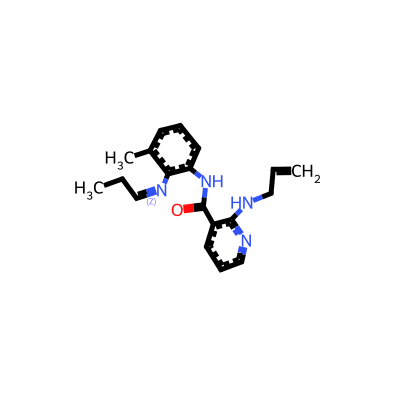 C=CCNc1ncccc1C(=O)Nc1cccc(C)c1/N=C\CC